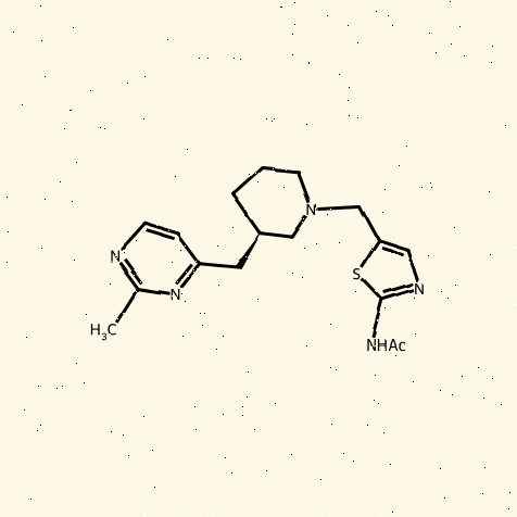 CC(=O)Nc1ncc(CN2CCC[C@H](Cc3ccnc(C)n3)C2)s1